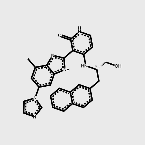 Cc1cc(-n2ccnc2)cc2[nH]c(-c3c(N[C@H](CO)Cc4ccc5ccccc5c4)cc[nH]c3=O)nc12